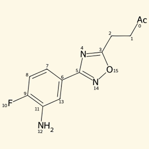 CC(=O)CCc1nc(-c2ccc(F)c(N)c2)no1